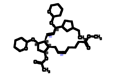 CCC1CCC([C@@H](/C=C/[C@@H]2[C@@H](C/C=C\CCCC(=O)OC)[C@@H](OC(C)=O)C[C@H]2OC2CCCCO2)OC2CCCCO2)C1